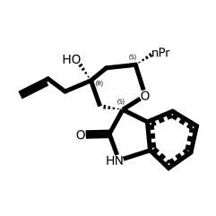 C=CC[C@@]1(O)C[C@H](CCC)O[C@]2(C1)C(=O)Nc1ccccc12